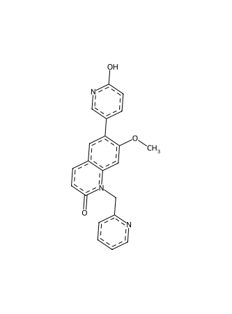 COc1cc2c(ccc(=O)n2Cc2ccccn2)cc1-c1ccc(O)nc1